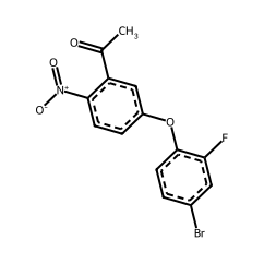 CC(=O)c1cc(Oc2ccc(Br)cc2F)ccc1[N+](=O)[O-]